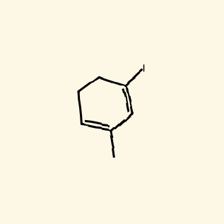 CC1=CCCC(I)=C1